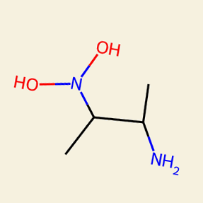 CC(N)C(C)N(O)O